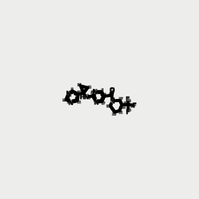 O=C(c1cnc(NC2(c3cncnc3)CC2)nc1)N1CCCC(C(F)(F)F)C1